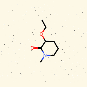 CCOC1CCCN(C)C1=O